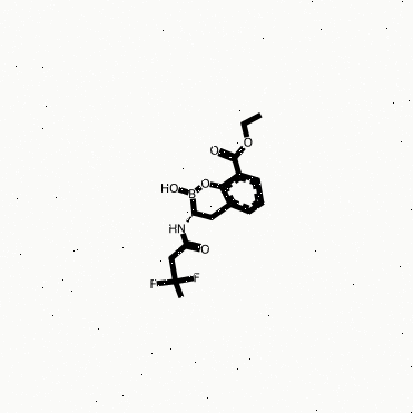 CCOC(=O)c1cccc2c1OB(O)[C@@H](NC(=O)CC(C)(F)F)C2